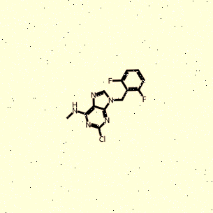 CNc1nc(Cl)nc2c1ncn2Cc1c(F)cccc1F